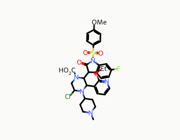 CCOc1ncccc1C1C(C2C(=O)N(S(=O)(=O)c3ccc(OC)cc3)c3cc(F)ccc32)N(C(=O)O)CC(Cl)N1C1CCN(C)CC1